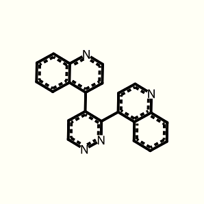 c1ccc2c(-c3ccnnc3-c3ccnc4ccccc34)ccnc2c1